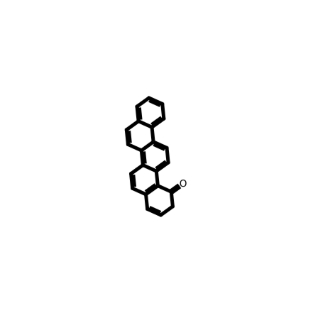 O=C1CC=Cc2ccc3c(ccc4c5ccccc5ccc34)c21